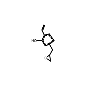 C=Cc1ccc(CC2CO2)cc1O